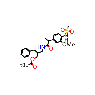 COc1cc(C(C)C(=O)NCC(COC(=O)C(C)(C)C)Cc2ccccc2)ccc1NS(C)(=O)=O